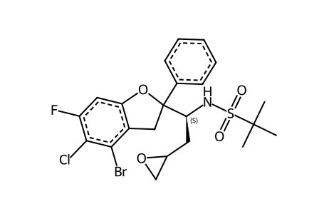 CC(C)(C)S(=O)(=O)N[C@@H](CC1CO1)C1(c2ccccc2)Cc2c(cc(F)c(Cl)c2Br)O1